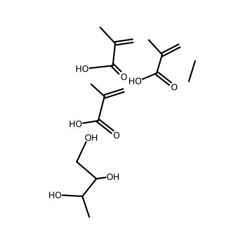 C=C(C)C(=O)O.C=C(C)C(=O)O.C=C(C)C(=O)O.CC.CC(O)C(O)CO